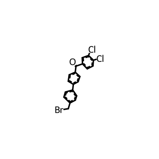 O=C(c1ccc(-c2ccc(CBr)cc2)cc1)c1ccc(Cl)c(Cl)c1